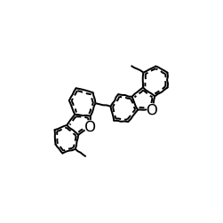 Cc1cccc2c1oc1c(-c3ccc4oc5cccc(C)c5c4c3)cccc12